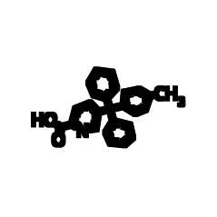 Cc1ccc(C(c2ccccc2)(c2ccccc2)c2ccc(C(=O)O)nc2)cc1